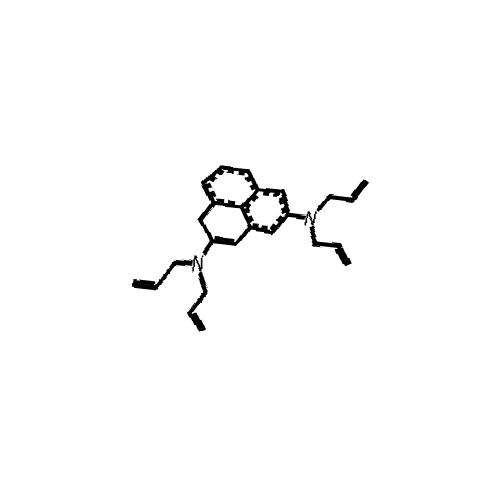 C=CCN(CC=C)C1=Cc2cc(N(CC=C)CC=C)cc3cccc(c23)C1